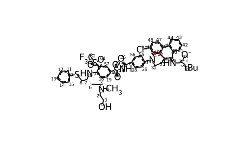 CN(CCO)CC[C@H](CSc1ccccc1)Nc1ccc(S(=O)(=O)NC(=O)c2ccc(N3CCC([C@@H](N[S@@+]([O-])C(C)(C)C)c4ccccc4-c4ccc(Cl)cc4)CC3)cc2)cc1S(=O)(=O)C(F)(F)F